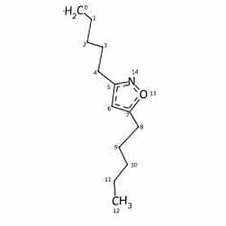 [CH2]CCCCc1cc(CCCCC)on1